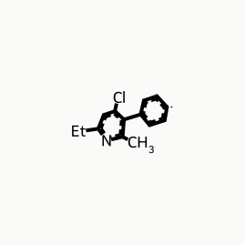 CCc1cc(Cl)c(-c2cc[c]cc2)c(C)n1